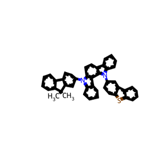 CC1(C)c2ccccc2-c2ccc(-n3c4ccccc4c4c3ccc3c5ccccc5n(-c5ccc6sc7ccccc7c6c5)c34)cc21